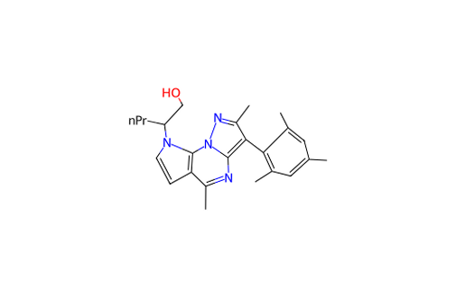 CCCC(CO)n1ccc2c(C)nc3c(-c4c(C)cc(C)cc4C)c(C)nn3c21